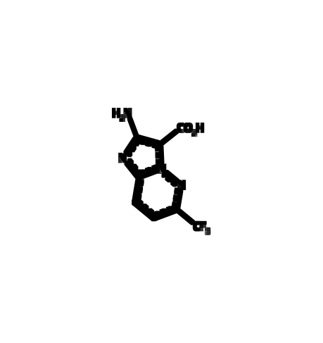 Nc1nc2ccc(C(F)(F)F)nn2c1C(=O)O